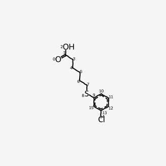 O=C(O)CCCCCSc1cccc(Cl)c1